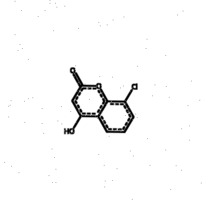 O=c1cc(O)c2cccc(Cl)c2o1